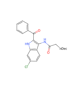 CCCCCCCCCCCC(=O)Nc1c(C(=O)c2ccccc2)[nH]c2cc(Cl)ccc12